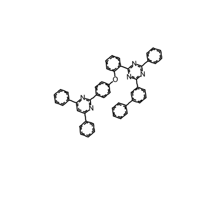 c1ccc(-c2cccc(-c3nc(-c4ccccc4)nc(-c4ccccc4Oc4ccc(-c5nc(-c6ccccc6)cc(-c6ccccc6)n5)cc4)n3)c2)cc1